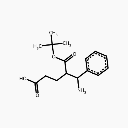 CC(C)(C)OC(=O)C(CCC(=O)O)C(N)c1ccccc1